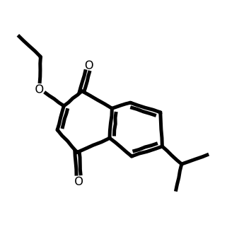 CCOC1=CC(=O)c2cc(C(C)C)ccc2C1=O